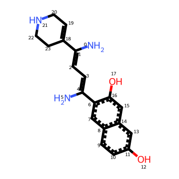 N/C(=C\C=C(/N)c1cc2ccc(O)cc2cc1O)C1=CCNCC1